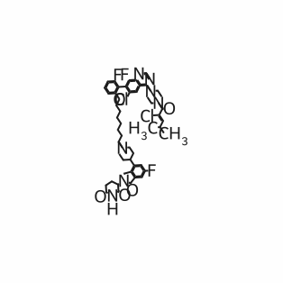 CC(C)C=C(Cl)C(=O)N1CCN(c2ncnc3c(F)c(-c4c(F)cccc4OCCCCCCCN4CCC(c5cc(F)cc6c5CN(C5CCC(=O)NC5=O)C6=O)CC4)c(Cl)cc23)CC1